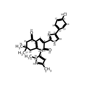 Cc1cc(-n2c3c(cc(-c4nc(-c5ccc(Cl)cc5)cs4)c2=O)C(=O)CC(C)(C)C3)n(C)n1